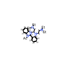 CCN(CC)CCN(CCN(CC)CC)c1ccccc1-c1nc2ccccc2n1C(C)=O